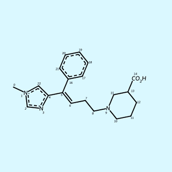 Cn1cnc(C(=CCCN2CCCC(C(=O)O)C2)c2ccccc2)c1